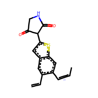 C=Cc1cc2cc(C3C(=O)CNC3=O)sc2cc1/C=C\C